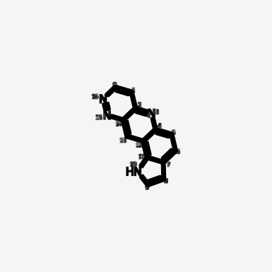 c1cc2nc3ccc4cc[nH]c4c3cc2nn1